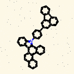 c1ccc2c(c1)-c1cccc3cc(-c4ccc(-n5c6ccccc6c6c7ccc8ccccc8c7c7ccccc7c65)cc4)cc-2c13